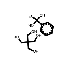 CCC(O)(O)c1ccccc1.OCC(CO)(CO)CO